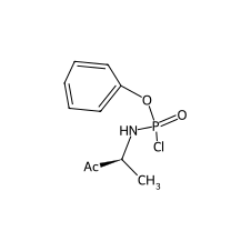 CC(=O)[C@H](C)NP(=O)(Cl)Oc1ccccc1